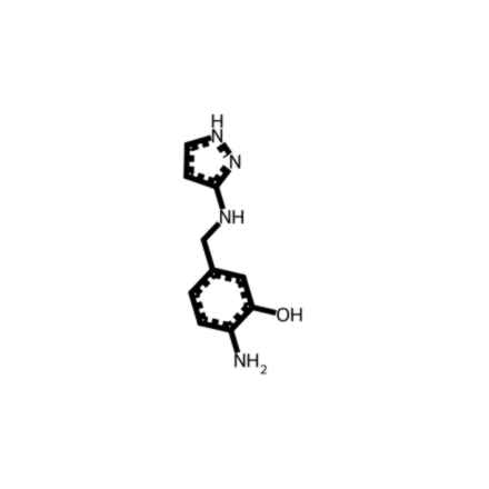 Nc1ccc(CNc2cc[nH]n2)cc1O